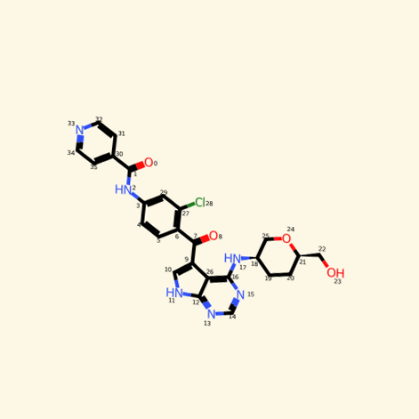 O=C(Nc1ccc(C(=O)c2c[nH]c3ncnc(N[C@@H]4CC[C@H](CO)OC4)c23)c(Cl)c1)c1ccncc1